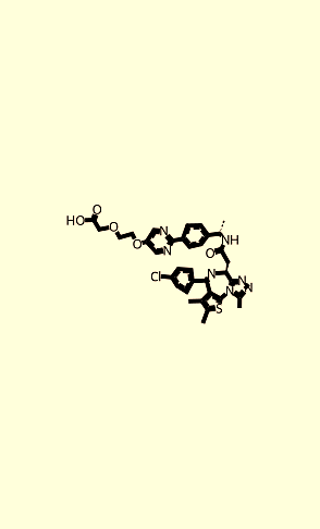 Cc1sc2c(c1C)C(c1ccc(Cl)cc1)=N[C@@H](CC(=O)N[C@@H](C)c1ccc(-c3ncc(OCCOCC(=O)O)cn3)cc1)c1nnc(C)n1-2